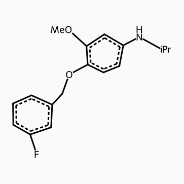 COc1cc(NC(C)C)ccc1OCc1cccc(F)c1